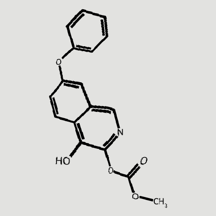 COC(=O)Oc1ncc2cc(Oc3ccccc3)ccc2c1O